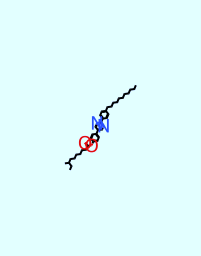 CCCCCCCCCCCc1ccc(-c2ncc(-c3ccc(OC(=O)CCCCCCC(C)CC)cc3)cn2)cc1